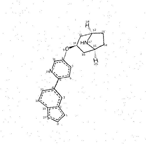 c1cc2cc(-c3ccc(O[C@H]4C[C@H]5CC[C@@H](C4)N5)cn3)ccc2s1